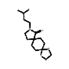 CC(C)CCN1CCC2(CCC3(CC2)OCCO3)C1=O